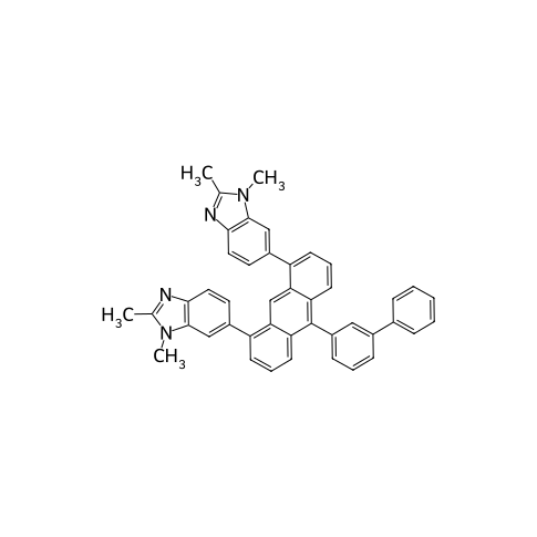 Cc1nc2ccc(-c3cccc4c(-c5cccc(-c6ccccc6)c5)c5cccc(-c6ccc7nc(C)n(C)c7c6)c5cc34)cc2n1C